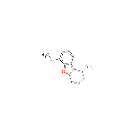 COc1cccc2c1oc1cccc(N)c12